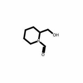 O=CN1CCCCC1CO